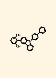 N#Cc1cccc(C#N)c1-c1ccc2c(c1)c1ccccc1n2-c1ccc(-c2ccccc2)cc1